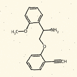 C#Cc1ccccc1OCC(N)c1ccccc1OC